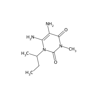 CCC(C)n1c(N)c(N)c(=O)n(C)c1=O